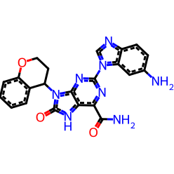 NC(=O)c1nc(-n2cnc3ccc(N)cc32)nc2c1[nH]c(=O)n2C1CCOc2ccccc21